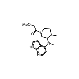 COCC(=O)N1CC[C@@H](C)C(N(C)c2ccnc3[nH]ccc23)C1